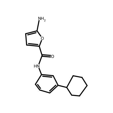 Nc1ccc(C(=O)Nc2cccc(C3CCCCC3)c2)o1